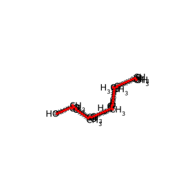 CC(C)(CCCCCCCCCCCCCCO)CCC(=O)OCCCCCCCCCCCCC(C)(C)CCC(=O)OCCCCCCCCCCCCCCCC(C)(C)CC(=O)OCCCCCCCCCCCCCC(C)(C)CC(=O)OCCCCCCCCCCCCCCCCC(C)(C)C(=O)O